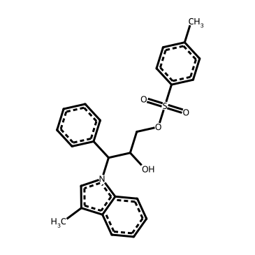 Cc1ccc(S(=O)(=O)OCC(O)C(c2ccccc2)n2cc(C)c3ccccc32)cc1